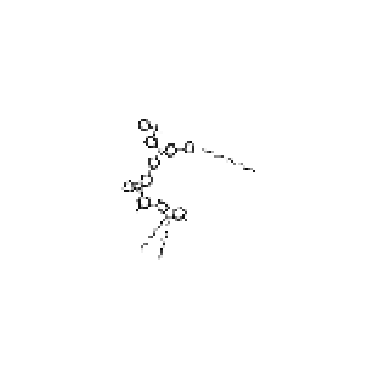 CCCCCCCCCCCCc1ccc(-c2ccc(N(c3ccc(-c4ccc5c(c4)c4ccccc4n5-c4cc(C)cc(-c5ccc6c(c5)C(CCCCCCCC)(CCCCCCCC)c5cc(C)ccc5-6)c4)cc3)c3ccc4c(c3)C(C)(C)c3ccccc3-4)cc2)cc1